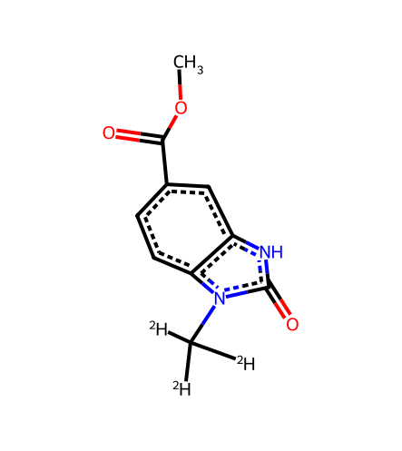 [2H]C([2H])([2H])n1c(=O)[nH]c2cc(C(=O)OC)ccc21